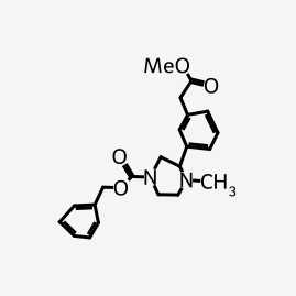 COC(=O)Cc1cccc(C2CN(C(=O)OCc3ccccc3)CCN2C)c1